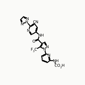 N#Cc1cc(NC(=O)c2cnn(-c3cccc(NC(=O)O)n3)c2C(F)(F)F)cnc1-n1nccn1